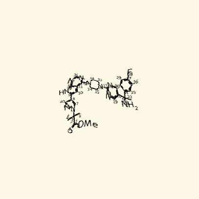 COC(=O)C(C)(C)n1cc(-c2cc3c(N4CCN(c5ncc(C(C)(N)c6ccc(F)cc6)cn5)CC4)ncnc3[nH]2)cn1